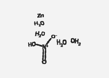 O.O.O.O.O=[N+]([O-])O.[Zn]